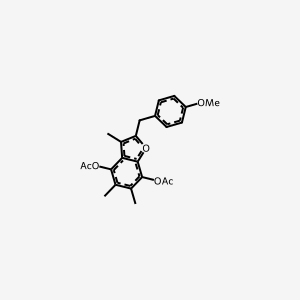 COc1ccc(Cc2oc3c(OC(C)=O)c(C)c(C)c(OC(C)=O)c3c2C)cc1